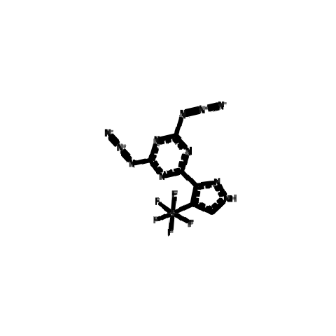 [N-]=[N+]=Nc1nc(N=[N+]=[N-])nc(-c2n[nH]cc2S(F)(F)(F)(F)F)n1